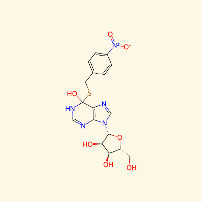 O=[N+]([O-])c1ccc(CSC2(O)NC=Nc3c2ncn3[C@@H]2O[C@H](CO)[C@@H](O)[C@H]2O)cc1